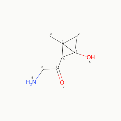 CC12CC1(O)C2C(=O)CN